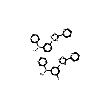 CN(c1cccnc1)c1cc(F)cc(-n2nnc(-c3ccccn3)n2)c1.CN(c1cccnc1)c1cccc(-n2nnc(-c3ccccn3)n2)c1